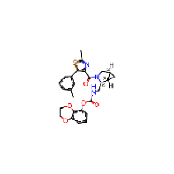 Cc1cccc(-c2sc(C)nc2C(=O)N2C[C@H]3C[C@H]3[C@H]2CNC(=O)Oc2cccc3c2OCCO3)c1